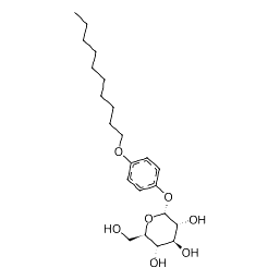 CCCCCCCCCCOc1ccc(O[C@H]2O[C@H](CO)[C@@H](O)[C@H](O)[C@H]2O)cc1